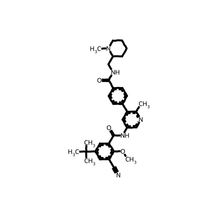 COc1c(C#N)cc(C(C)(C)C)cc1C(=O)Nc1cnc(C)c(-c2ccc(C(=O)NCC3CCCCN3C)cc2)c1